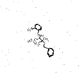 CC(C)(SCc1ccccc1)[C@H](NSc1ccccc1[N+](=O)[O-])C(=O)O